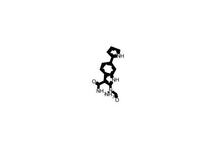 NC(=O)c1c(N(N)C=O)[nH]c2cc(-c3ccc[nH]3)ccc12